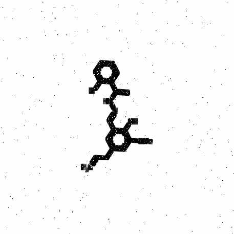 C=CCc1cc(/C=N/NC(=O)c2ccccc2Br)c(O)c(OC)c1